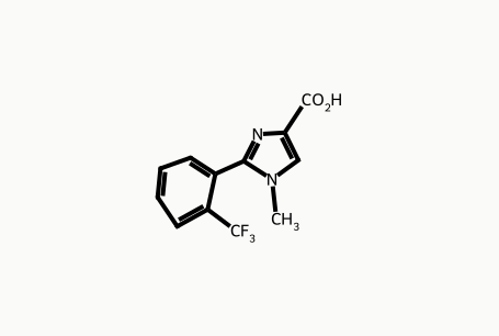 Cn1cc(C(=O)O)nc1-c1ccccc1C(F)(F)F